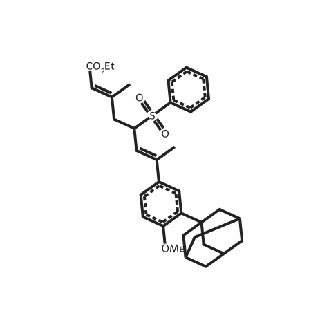 CCOC(=O)/C=C(\C)CC(/C=C(\C)c1ccc(OC)c(C23CC4CC(CC(C4)C2)C3)c1)S(=O)(=O)c1ccccc1